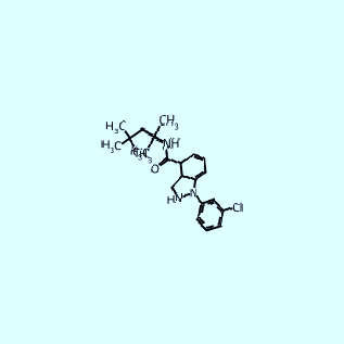 CC(C)(C)CC(C)(C)NC(=O)C1C=CC=C2C1CNN2c1cccc(Cl)c1